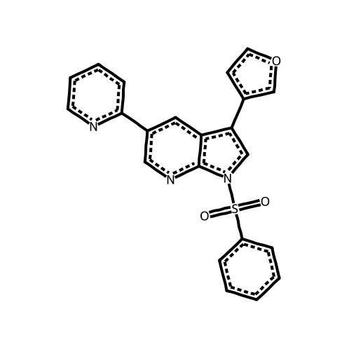 O=S(=O)(c1ccccc1)n1cc(-c2ccoc2)c2cc(-c3ccccn3)cnc21